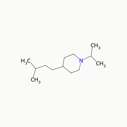 CC(C)CCC1CCN(C(C)C)CC1